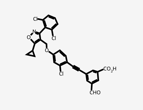 O=Cc1cc(C#Cc2ccc(OCc3c(-c4c(Cl)cccc4Cl)noc3C3CC3)cc2Cl)cc(C(=O)O)c1